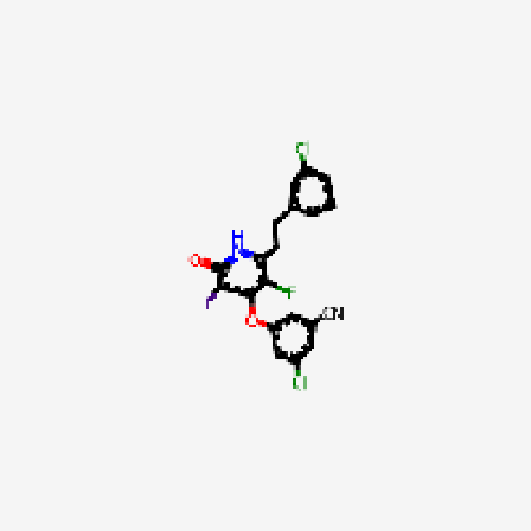 N#Cc1cc(Cl)cc(Oc2c(F)c(CCc3cccc(Cl)c3)[nH]c(=O)c2I)c1